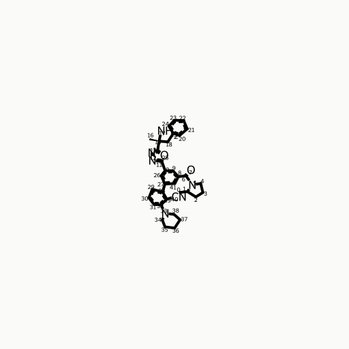 CC1CCCN1C(=O)c1cc(-c2nnc([C@](C)(N)Cc3ccccc3)o2)cc(-c2cccc(N3CCCCC3)c2C#N)c1